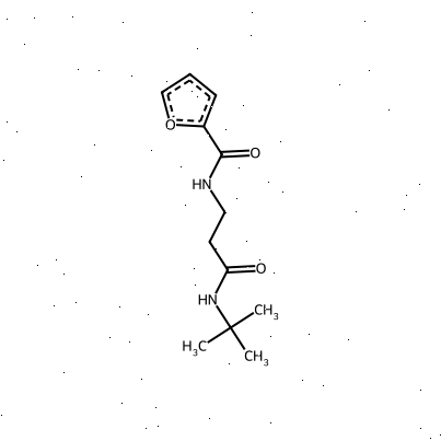 CC(C)(C)NC(=O)CCNC(=O)c1ccco1